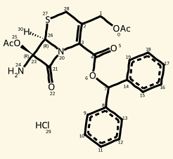 CC(=O)OCC1=C(C(=O)OC(c2ccccc2)c2ccccc2)N2C(=O)[C@@](N)(OC(C)=O)[C@H]2SC1.Cl